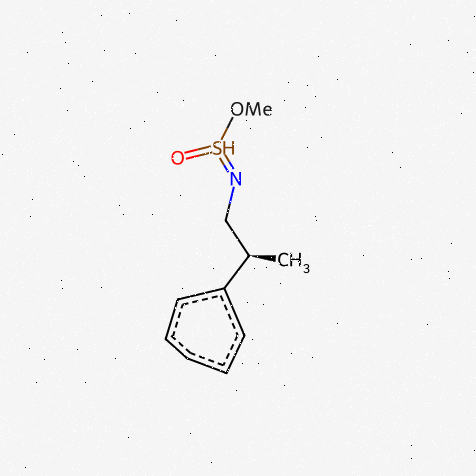 CO[SH](=O)=NC[C@@H](C)c1ccccc1